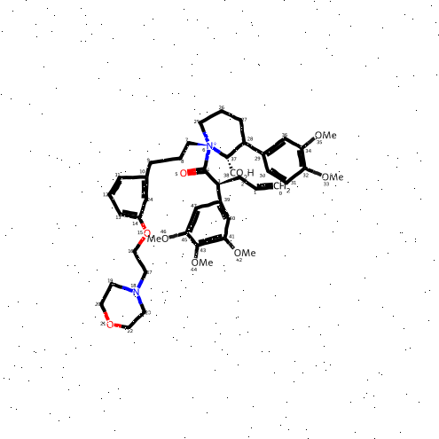 C=CC[C@H](C(=O)[N@+]1(CCCc2cccc(OCCN3CCOCC3)c2)CCCC(c2ccc(OC)c(OC)c2)[C@@H]1C(=O)O)c1cc(OC)c(OC)c(OC)c1